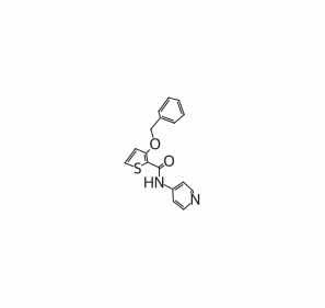 O=C(Nc1ccncc1)c1sccc1OCc1ccccc1